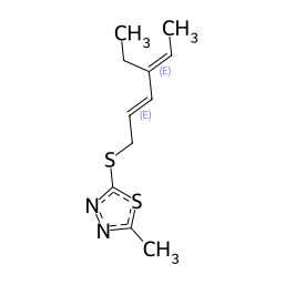 C/C=C(/C=C/CSc1nnc(C)s1)CC